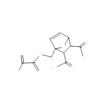 C=C(C)C(=O)OCC12C=CC(O1)C(C(=O)O)C2C(=O)O